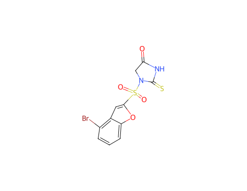 O=C1CN(S(=O)(=O)c2cc3c(Br)cccc3o2)C(=S)N1